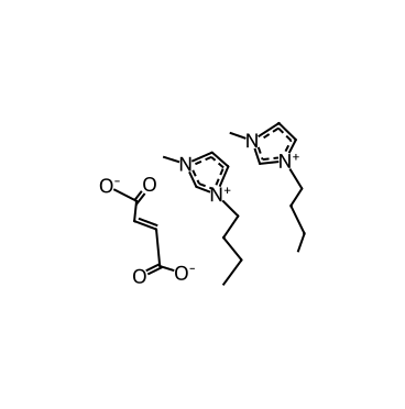 CCCC[n+]1ccn(C)c1.CCCC[n+]1ccn(C)c1.O=C([O-])C=CC(=O)[O-]